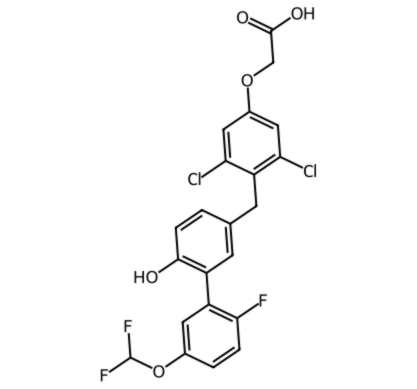 O=C(O)COc1cc(Cl)c(Cc2ccc(O)c(-c3cc(OC(F)F)ccc3F)c2)c(Cl)c1